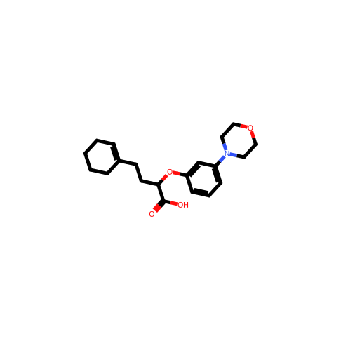 O=C(O)C(CCC1=CCCCC1)Oc1cccc(N2CCOCC2)c1